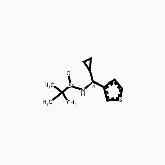 CC(C)(C)[S+]([O-])N[C@H](c1ccsc1)C1CC1